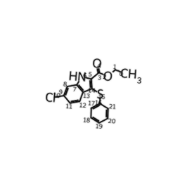 CCOC(=O)c1[nH]c2cc(Cl)ccc2c1Sc1ccccc1